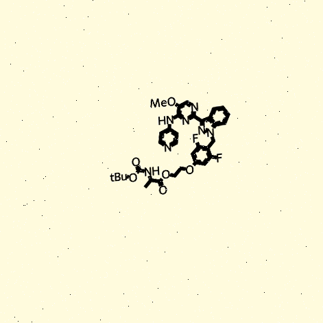 COc1cnc(-c2nn(Cc3c(F)cc(OCCOC(=O)C(C)NC(=O)OC(C)(C)C)cc3F)c3ccccc23)nc1Nc1ccncc1